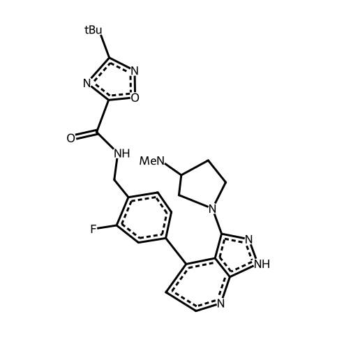 CNC1CCN(c2n[nH]c3nccc(-c4ccc(CNC(=O)c5nc(C(C)(C)C)no5)c(F)c4)c23)C1